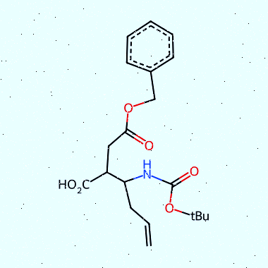 C=CCC(NC(=O)OC(C)(C)C)C(CC(=O)OCc1ccccc1)C(=O)O